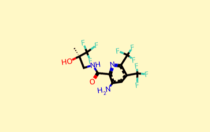 C[C@@](O)(CNC(=O)c1nc(C(F)(F)F)c(C(F)(F)F)cc1N)C(F)(F)F